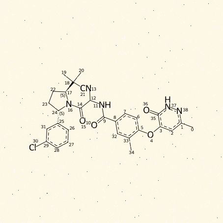 Cc1cc(Oc2ccc(C(=O)NC(C)C(=O)N3[C@H](C(C)(C)C#N)CC[C@H]3c3cccc(Cl)c3)cc2C)c(=O)[nH]n1